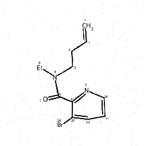 C=CCCN(CC)C(=O)c1ncccc1Br